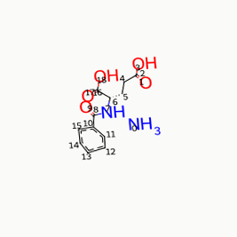 N.O=C(O)CC[C@H](NC(=O)c1ccccc1)C(=O)O